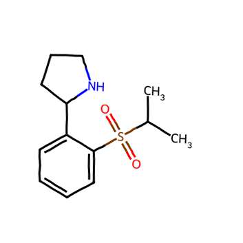 CC(C)S(=O)(=O)c1ccccc1C1CCCN1